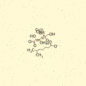 CC(C)CCCCC(=O)[O-].O=C([O-])[C@H](O)[C@@H](O)[C@H](O)[C@H](O)CO.[Cu+2].[Cu+2]